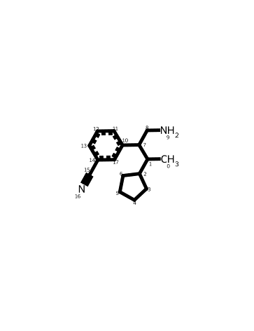 CC(C1CCCC1)C(CN)c1cccc(C#N)c1